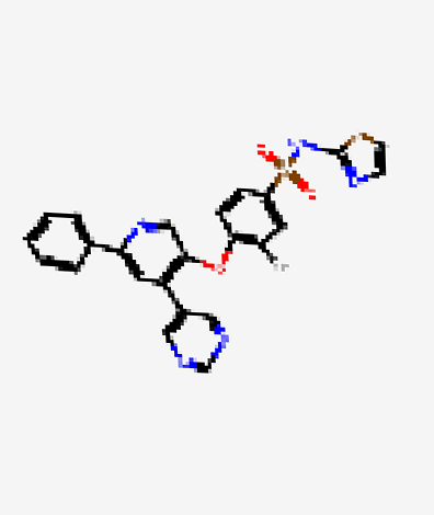 N#Cc1cc(S(=O)(=O)Nc2nccs2)ccc1Oc1cnc(-c2ccccc2)cc1-c1cncnc1